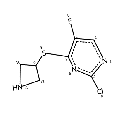 Fc1cnc(Cl)nc1SC1CNC1